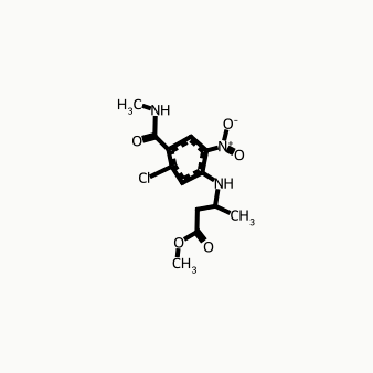 CNC(=O)c1cc([N+](=O)[O-])c(NC(C)CC(=O)OC)cc1Cl